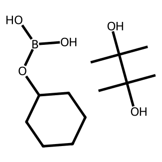 CC(C)(O)C(C)(C)O.OB(O)OC1CCCCC1